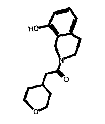 O=C(CC1CCOCC1)N1CCc2cccc(O)c2C1